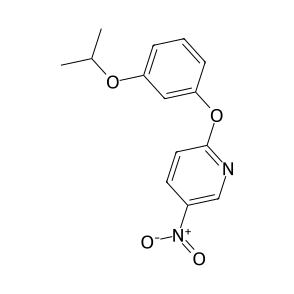 CC(C)Oc1cccc(Oc2ccc([N+](=O)[O-])cn2)c1